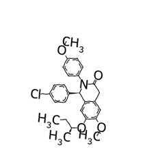 CC[C@H](C)Oc1cc2c(cc1OC)CC(=O)N(c1ccc(OC)cc1)[C@@H]2c1ccc(Cl)cc1